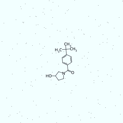 CC(C)(C)c1ccc(C(=O)N2CCC(O)C2)cc1